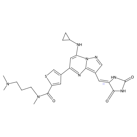 CN(C)CCCN(C)C(=O)c1cc(-c2cc(NC3CC3)n3ncc(/C=C4\NC(=O)NC4=O)c3n2)cs1